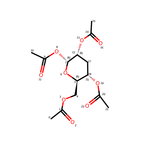 CC(=O)OC[C@H]1O[C@H](OC(C)=O)[C@H](OC(C)=O)C[C@@H]1OC(C)=O